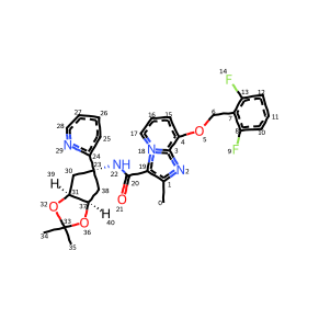 Cc1nc2c(OCc3c(F)cccc3F)cccn2c1C(=O)N[C@@]1(c2ccccn2)C[C@@H]2OC(C)(C)O[C@@H]2C1